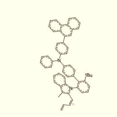 C=C/C=C\c1c(C)c2ccccc2n1-c1cccc(C(C)(C)C)c1-c1ccc(N(c2ccccc2)c2ccc(-c3cc4ccccc4c4ccccc34)cc2)cc1